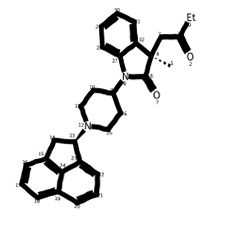 CCC(=O)C[C@@]1(C)C(=O)N(C2CCN([C@@H]3Cc4cccc5cccc3c45)CC2)c2ccccc21